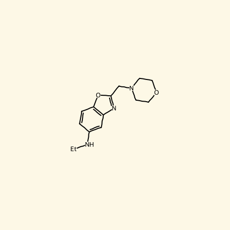 CCNc1ccc2oc(CN3CCOCC3)nc2c1